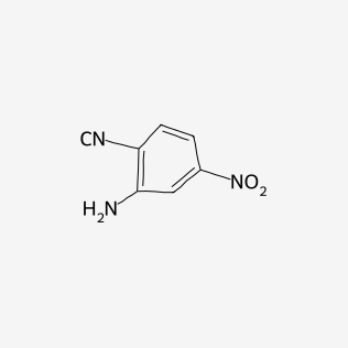 [C-]#[N+]c1ccc([N+](=O)[O-])cc1N